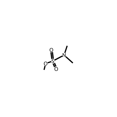 COS(=O)(=O)N(C)C